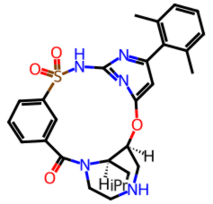 Cc1cccc(C)c1-c1cc2nc(n1)NS(=O)(=O)c1cccc(c1)C(=O)N1CCNC[C@H](O2)[C@H]1CC(C)C